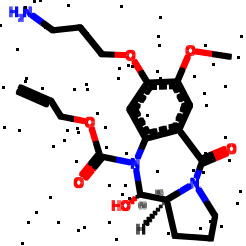 C=CCOC(=O)N1c2cc(OCCCN)c(OC)cc2C(=O)N2CCC[C@H]2[C@@H]1O